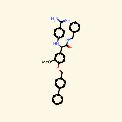 COc1cc(C(Nc2ccc(C(=N)N)cc2)C(=O)NCc2ccccc2)ccc1OCc1ccc(-c2ccccc2)cc1